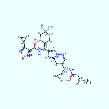 C[C@@H](CC(=O)N[C@@H](c1cnn2cc([C@@H](NC(=O)c3nonc3C3CC3)C3CCC(F)(F)CC3)nc2c1)C1CC1)C(F)(F)F